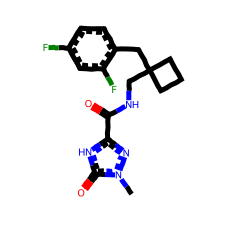 Cn1nc(C(=O)NCC2(Cc3ccc(F)cc3F)CCC2)[nH]c1=O